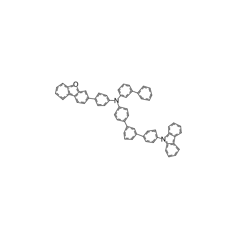 c1ccc(-c2cccc(N(c3ccc(-c4cccc(-c5ccc(-n6c7ccccc7c7ccccc76)cc5)c4)cc3)c3ccc(-c4ccc5c(c4)oc4ccccc45)cc3)c2)cc1